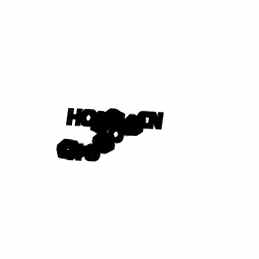 N#Cc1cccc(-c2ccc3cc(O)ccc3c2Oc2ccc(OCCN3CCCCC3)cc2)c1